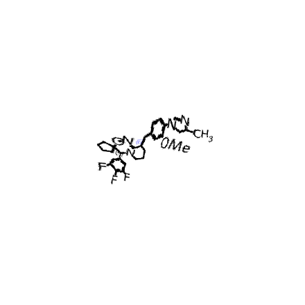 COc1cc(/C=C2\CCCN3C2=NOC2(CCCC2)[C@@H]3c2cc(F)c(F)c(F)c2)ccc1N1C=NC(C)C1